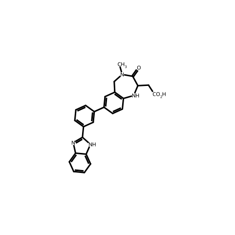 CN1Cc2cc(-c3cccc(-c4nc5ccccc5[nH]4)c3)ccc2NC(CC(=O)O)C1=O